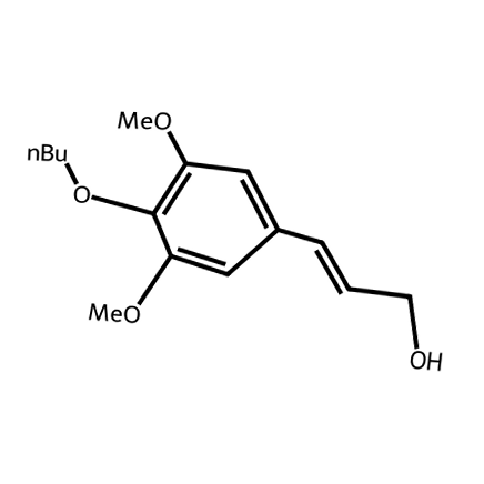 CCCCOc1c(OC)cc(/C=C/CO)cc1OC